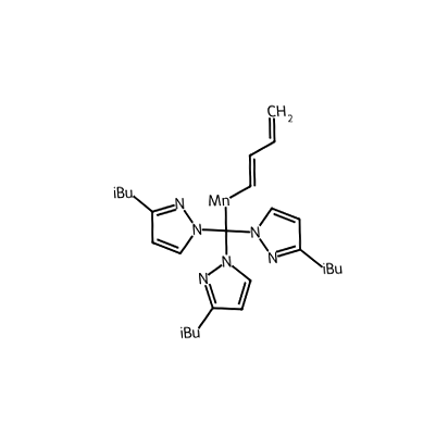 C=CC=[CH][Mn][C](n1ccc(C(C)CC)n1)(n1ccc(C(C)CC)n1)n1ccc(C(C)CC)n1